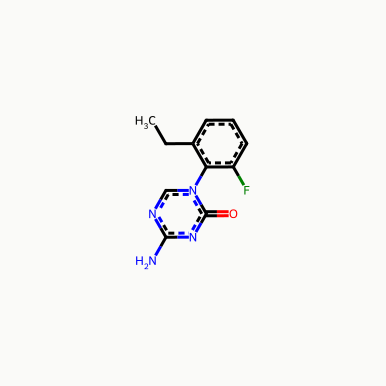 CCc1cccc(F)c1-n1cnc(N)nc1=O